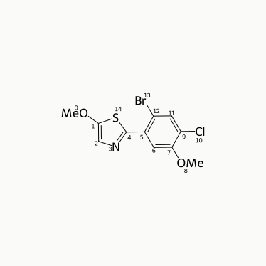 COc1cnc(-c2cc(OC)c(Cl)cc2Br)s1